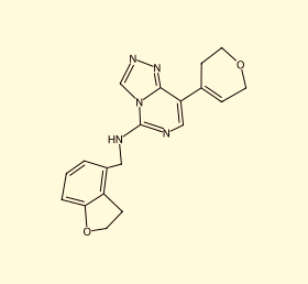 C1=C(c2cnc(NCc3cccc4c3CCO4)n3cnnc23)CCOC1